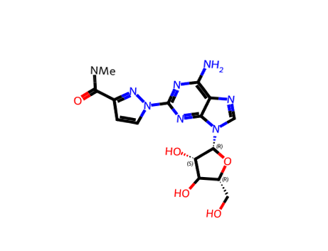 CNC(=O)c1ccn(-c2nc(N)c3ncn([C@@H]4O[C@H](CO)C(O)[C@@H]4O)c3n2)n1